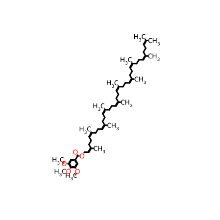 COc1cc(C(=O)OCC=C(C)CCC=C(C)CCC=C(C)CCC=C(C)CCC=C(C)CCC=C(C)CCC=C(C)CCC=C(C)CCC=C(C)CCC=C(C)C)cc(OC)c1OC